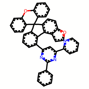 c1ccc(-c2nc(-c3ccccn3)cc(-c3cccc4c3-c3c(ccc5occc35)C43c4ccccc4Oc4ccccc43)n2)cc1